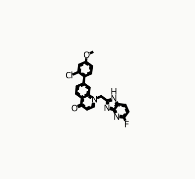 COc1ccc(-c2ccc3c(=O)ccn(Cc4nc5nc(F)ccc5[nH]4)c3c2)c(Cl)c1